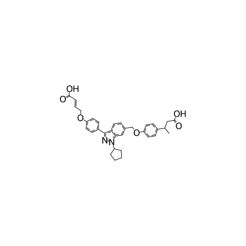 CC(CC(=O)O)c1ccc(OCc2ccc3c(-c4ccc(OC/C=C/C(=O)O)cc4)nn(C4CCCC4)c3c2)cc1